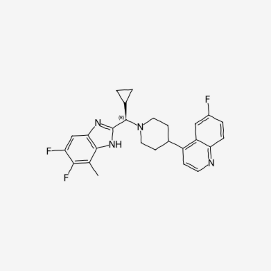 Cc1c(F)c(F)cc2nc([C@@H](C3CC3)N3CCC(c4ccnc5ccc(F)cc45)CC3)[nH]c12